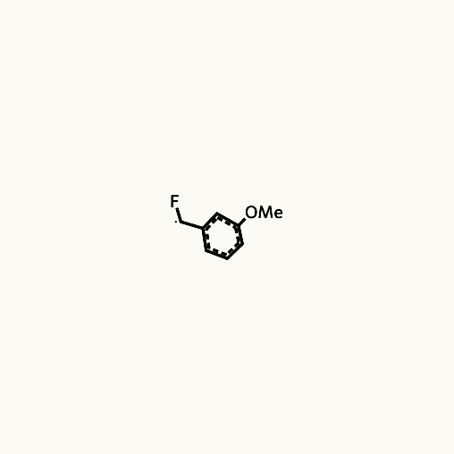 COc1cccc([CH]F)c1